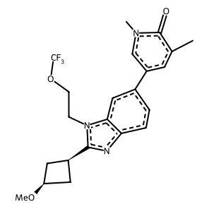 CO[C@H]1C[C@@H](c2nc3ccc(-c4cc(C)c(=O)n(C)c4)cc3n2CCOC(F)(F)F)C1